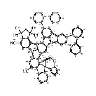 CCC1(CC)CC(CC)(CC)c2c1c(C#N)cc1c2c2c3c4cc(-c5ccccc5-c5ccccc5)cc5c6cc(-c7ccccc7-c7ccccc7)ccc6n(c3cc3c6c7c(c(C#N)cc6n1c32)-c1ccccc1C71c2ccccc2Oc2ccccc21)c54